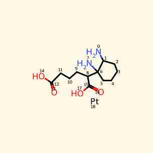 NC1CCCCC1(N)C(CCCC(=O)O)C(=O)O.[Pt]